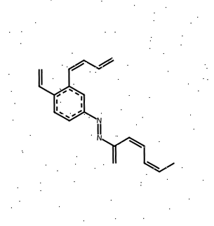 C=C/C=C\c1cc(N=NC(=C)/C=C\C=C/C)ccc1C=C